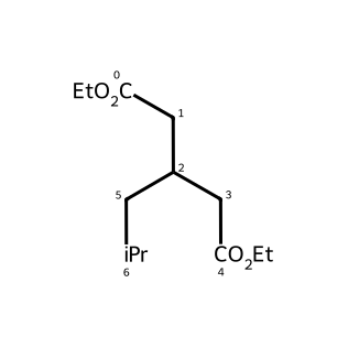 CCOC(=O)CC(CC(=O)OCC)CC(C)C